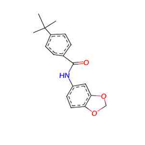 CC(C)(C)c1ccc(C(=O)Nc2ccc3c(c2)OCO3)cc1